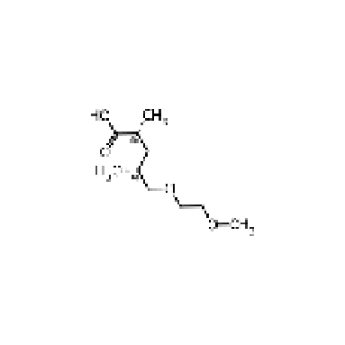 COCCOC[C@H](C)C[C@@H](C)C(=O)O